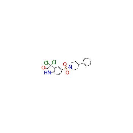 O=C1Nc2ccc(S(=O)(=O)N3CCC(c4ccccc4)CC3)cc2C1(Cl)Cl